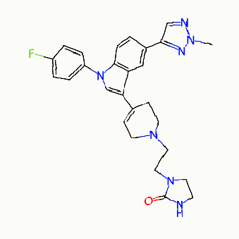 Cn1ncc(-c2ccc3c(c2)c(C2=CCN(CCN4CCNC4=O)CC2)cn3-c2ccc(F)cc2)n1